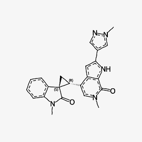 CN1C(=O)[C@]2(C[C@@H]2c2cn(C)c(=O)c3[nH]c(-c4cnn(C)c4)cc23)c2ccccc21